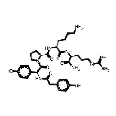 N=C(N)NCCC[C@H](NC(=O)[C@H](CCCCN)NC(=O)[C@@H]1CCCN1C(=O)[C@H](NC(=O)Cc1ccc(O)cc1)c1ccc(O)cc1)C(N)=O